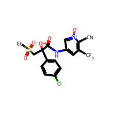 CCS(=O)(=O)CC(O)(C(=O)Nc1cc(C(F)(F)F)c(C#N)[n+]([O-])c1)c1ccc(Cl)cc1